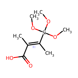 CO[Si](OC)(OC)/C(C)=C(\C)C(=O)O